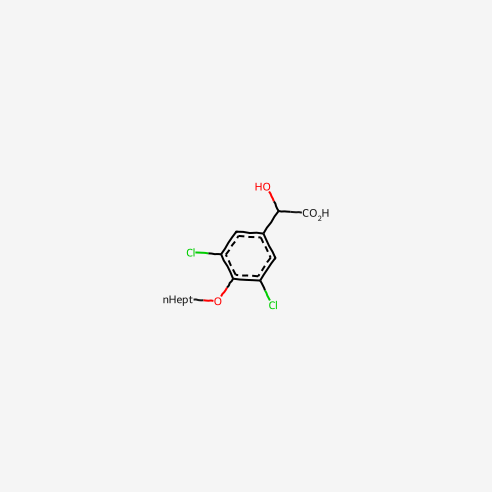 CCCCCCCOc1c(Cl)cc(C(O)C(=O)O)cc1Cl